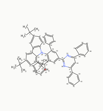 CC(C)(C)c1ccc2c(c1)c1cc(C(C)(C)C)cc(C(C)(C)C)c1n2-c1c(-c2ccccc2)cc(-c2nc(-c3ccccc3)cc(-c3ccccc3)n2)cc1-c1ccccc1